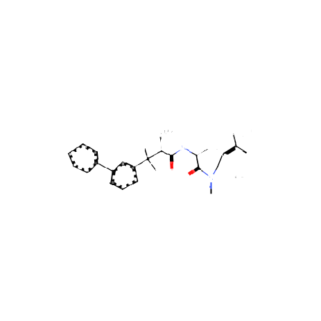 CCOC(=O)/C(C)=C/[C@H](C(C)C)N(C)C(=O)[C@@H](NC(=O)[C@H](NC)C(C)(C)c1cccc(-c2ccccc2)c1)C(C)(C)C